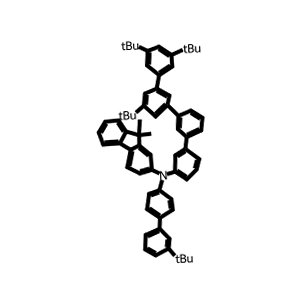 CC(C)(C)c1cccc(-c2ccc(N(c3cccc(-c4cccc(-c5cc(-c6cc(C(C)(C)C)cc(C(C)(C)C)c6)cc(C(C)(C)C)c5)c4)c3)c3ccc4c(c3)C(C)(C)c3ccccc3-4)cc2)c1